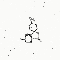 CC1CCC2(CC1)OC(=O)c1cc[n+]([O-])cc12